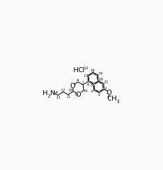 COc1ccc2c(C3COC(CCCN)OC3)cccc2c1.Cl